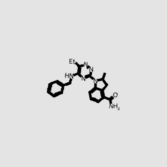 CCc1nnc(N2c3cccc(C(N)=O)c3CC2C)nc1NCc1ccccc1